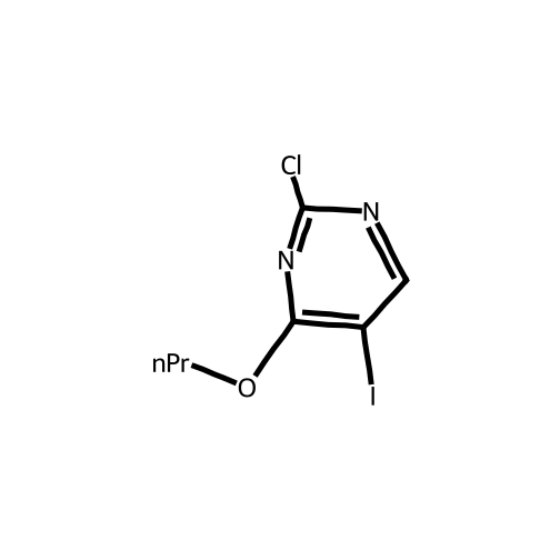 CCCOc1nc(Cl)ncc1I